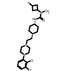 CN(C(=O)N[C@H]1CC[C@H](CCN2CCN(c3cccc(Cl)c3Cl)CC2)CC1)C1CC(F)C1